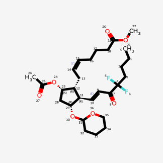 CCCCC(F)(F)C(=O)/C=C/[C@@H]1[C@@H](C/C=C\CCCC(=O)OC)[C@@H](OC(C)=O)C[C@H]1OC1CCCCO1